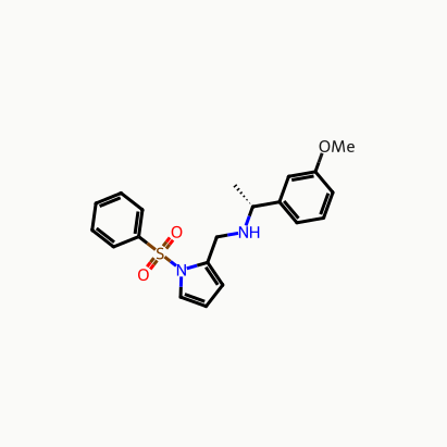 COc1cccc([C@@H](C)NCc2cccn2S(=O)(=O)c2ccccc2)c1